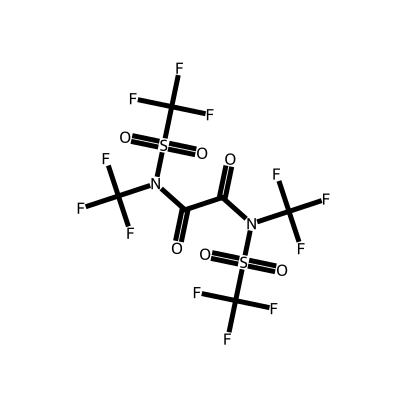 O=C(C(=O)N(C(F)(F)F)S(=O)(=O)C(F)(F)F)N(C(F)(F)F)S(=O)(=O)C(F)(F)F